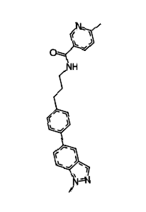 Cc1ccc(C(=O)NCCCc2ccc(-c3ccc4c(cnn4C)c3)cc2)cn1